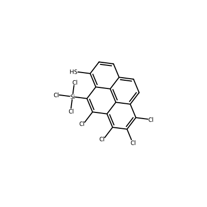 Sc1ccc2ccc3c(Cl)c(Cl)c(Cl)c4c(Cl)c([Si](Cl)(Cl)Cl)c1c2c34